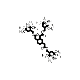 CC1(C)CC(COC(=O)CC2CCC(CC(=O)OCC3CC(C)(C)N(O)C3(C)C)CC2CC(=O)OCC2CC(C)(C)N(O)C2(C)C)C(C)(C)N1